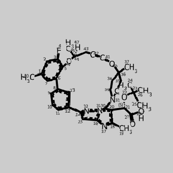 Cc1cc(F)c2c(c1)-c1cccc(c1)-c1cc3nc(C)c([C@H](OC(C)(C)C)C(=O)O)c(n3n1)N1CCC(C)(CC1)OCCC[C@H](C)O2